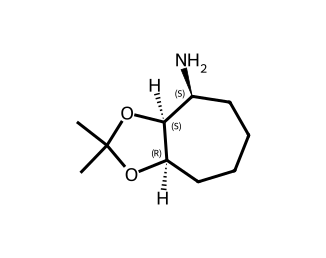 CC1(C)O[C@H]2[C@@H](N)CCCC[C@H]2O1